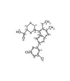 CSc1c(C)nc2cc(-c3cc(Cl)cc(Cl)c3)nn2c1N1CCCC(C(=O)O)C1